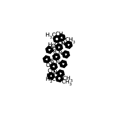 Cc1ccccc1N(c1cc2c3c(c1)N(c1ccccc1)c1cc4c(cc1B3c1ccccc1O2)B1c2ccccc2Oc2cc(N(c3ccccc3C)c3cccc5c3C(C)(C)CCC5(C)C)cc(c21)N4c1ccccc1)c1cccc2c1C(C)(C)CCC2(C)C